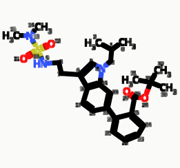 CC(C)Cn1cc(CCNS(=O)(=O)N(C)C)c2ccc(-c3ccccc3C(=O)OC(C)(C)C)cc21